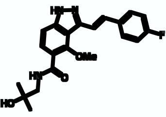 COc1c(C(=O)NCC(C)(C)O)ccc2[nH]nc(/C=C/c3ccc(F)cc3)c12